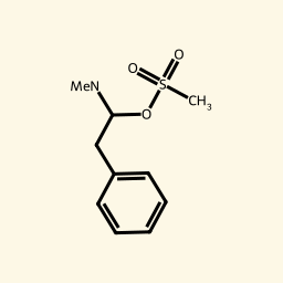 CNC(Cc1ccccc1)OS(C)(=O)=O